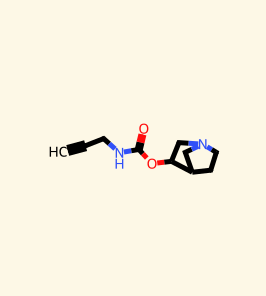 C#CCNC(=O)OC1CN2CCC1C2